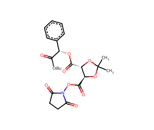 CC(C)COC(=O)[C@@H](OC(=O)[C@@H]1OC(C)(C)O[C@H]1C(=O)ON1C(=O)CCC1=O)c1ccccc1